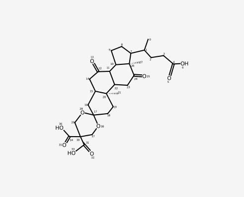 CC(CCC(=O)O)C1CCC2C3C(=O)CC4CC5(CC[C@]4(C)C3CC(=O)[C@]12C)OCC(C(=O)O)(C(=O)O)CO5